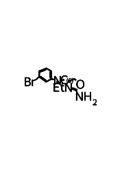 CCN(C[C@H]1COC(N)=N1)c1cccc(Br)c1